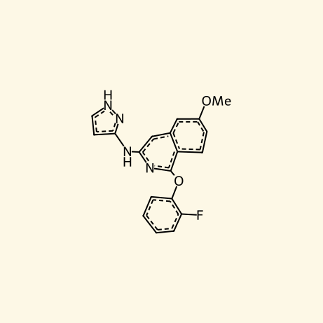 COc1ccc2c(Oc3ccccc3F)nc(Nc3cc[nH]n3)cc2c1